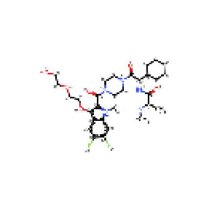 CNC(C)C(=O)N[C@H](C(=O)N1CCN(C(=O)c2c(OCCOCCO)c3cc(F)c(F)cc3n2C)CC1)C1CCCCC1